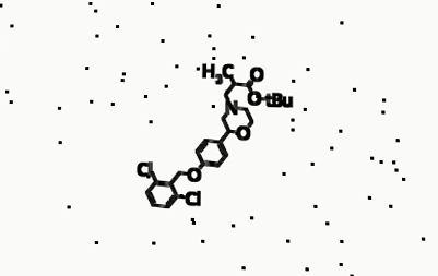 CC(CN1CCOC(c2ccc(OCc3c(Cl)cccc3Cl)cc2)C1)C(=O)OC(C)(C)C